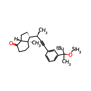 C[C@@H](C#Cc1cccc(C(C)(O[SiH3])C(C)(C)C)c1)[C@H]1CC[C@H]2C(=O)CCC[C@]12C